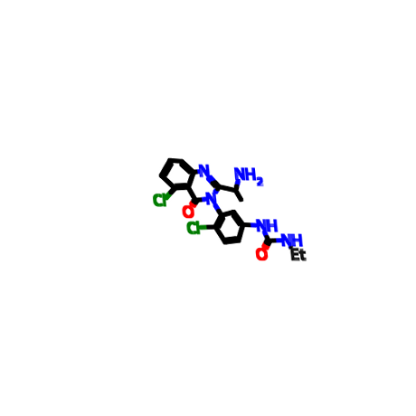 CCNC(=O)Nc1ccc(Cl)c(-n2c(C(C)N)nc3cccc(Cl)c3c2=O)c1